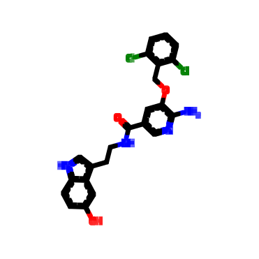 Nc1ncc(C(=O)NCCc2c[nH]c3ccc(O)cc23)cc1OCc1c(Cl)cccc1Cl